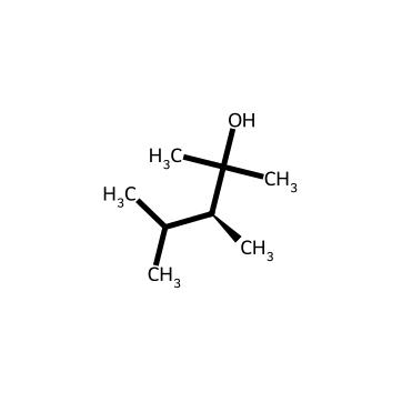 CC(C)[C@H](C)C(C)(C)O